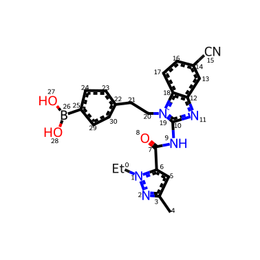 CCn1nc(C)cc1C(=O)Nc1nc2cc(C#N)ccc2n1CCc1ccc(B(O)O)cc1